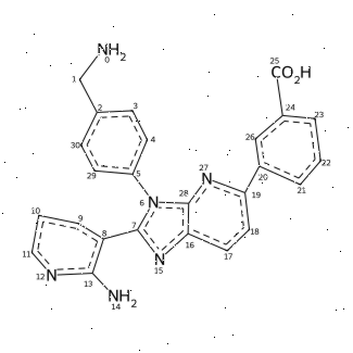 NCc1ccc(-n2c(-c3cccnc3N)nc3ccc(-c4cccc(C(=O)O)c4)nc32)cc1